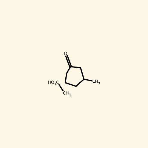 CC(=O)O.CC1CCCC(=O)C1